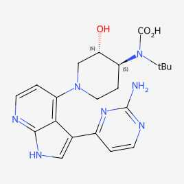 CC(C)(C)N(C(=O)O)[C@H]1CCN(c2ccnc3[nH]cc(-c4ccnc(N)n4)c23)C[C@@H]1O